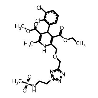 CCOC(=O)C1=C(COCc2nnn(CCNS(C)(=O)=O)n2)NC(C)=C(C(=O)OC)C1c1cccc(Cl)c1Cl